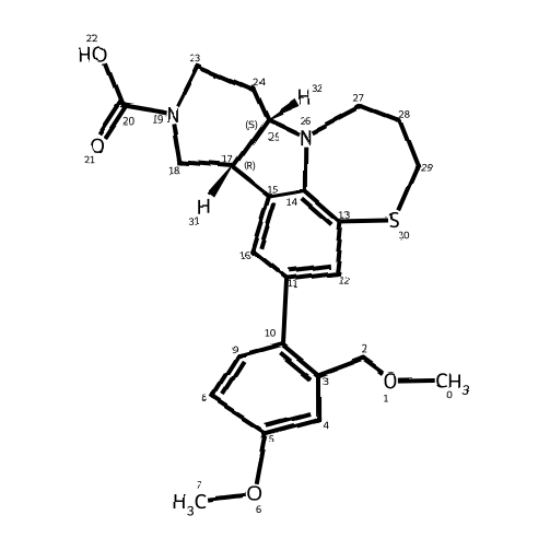 COCc1cc(OC)ccc1-c1cc2c3c(c1)[C@@H]1CN(C(=O)O)CC[C@@H]1N3CCCS2